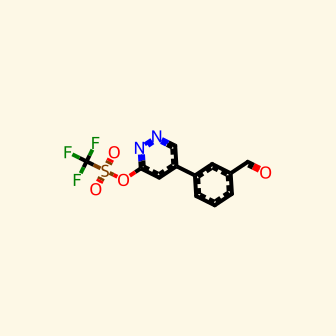 O=Cc1cccc(-c2cnnc(OS(=O)(=O)C(F)(F)F)c2)c1